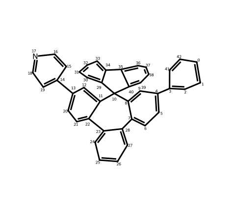 c1ccc(-c2ccc3c(c2)C2(c4cc(-c5ccncc5)ccc4-c4ccccc4-3)c3ccccc3-c3ccccc32)cc1